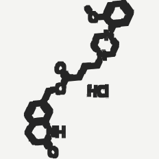 COc1ccccc1N1CCN(CCCC(=O)OCc2ccc3c(c2)NC(=O)CC3)CC1.Cl